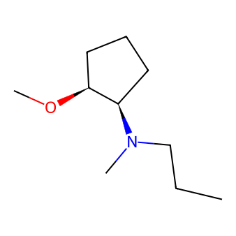 CCCN(C)[C@@H]1CCC[C@@H]1OC